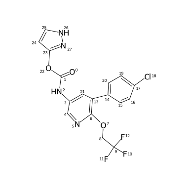 O=C(Nc1cnc(OCC(F)(F)F)c(-c2ccc(Cl)cc2)c1)Oc1cc[nH]n1